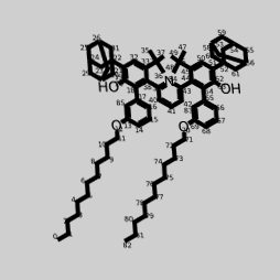 CCCCCCCCCCCCOc1cccc(-c2c(O)c(C34CC5CC(CC(C5)C3)C4)cc(C(C)(C)C)c2-c2cccc(-c3c(C(C)(C)C)cc(C45CC6CC(CC(C6)C4)C5)c(O)c3-c3cccc(OCCCCCCCCCCCC)c3)n2)c1